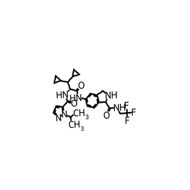 CC(C)n1nccc1C(=O)N[C@H](C(=O)Nc1ccc2c(c1)CNC2C(=O)NCC(F)(F)F)C(C1CC1)C1CC1